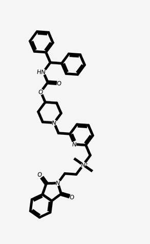 C[N+](C)(CCN1C(=O)c2ccccc2C1=O)Cc1cccc(CN2CCC(OC(=O)NC(c3ccccc3)c3ccccc3)CC2)n1